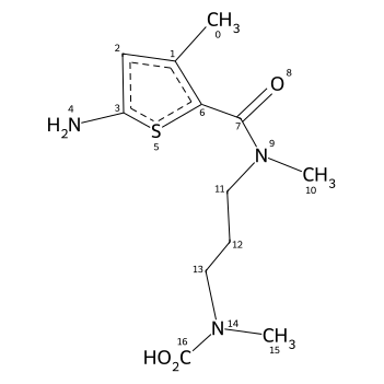 Cc1cc(N)sc1C(=O)N(C)CCCN(C)C(=O)O